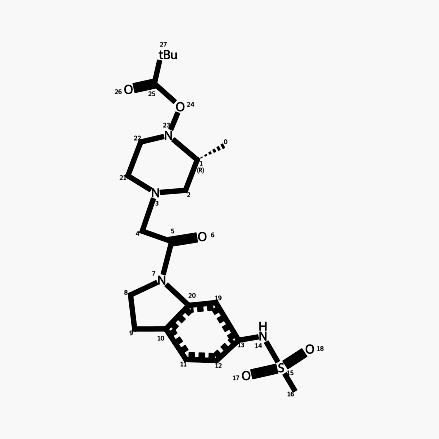 C[C@@H]1CN(CC(=O)N2CCc3ccc(NS(C)(=O)=O)cc32)CCN1OC(=O)C(C)(C)C